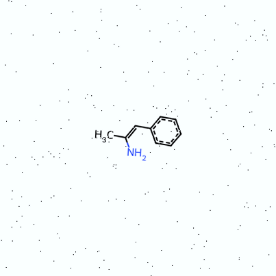 C/C(N)=C/c1ccccc1